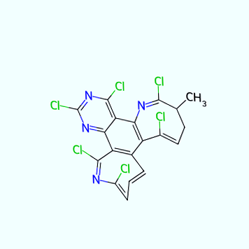 CC1C/C=C(\Cl)c2c3c(c4nc(Cl)nc(Cl)c4c2/N=C\1Cl)\C(Cl)=N/C(Cl)=C/C=C/3